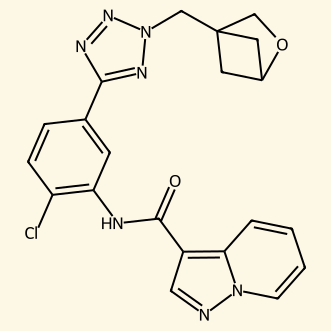 O=C(Nc1cc(-c2nnn(CC34COC(C3)C4)n2)ccc1Cl)c1cnn2ccccc12